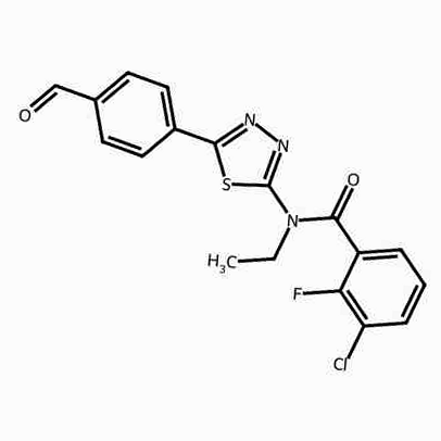 CCN(C(=O)c1cccc(Cl)c1F)c1nnc(-c2ccc(C=O)cc2)s1